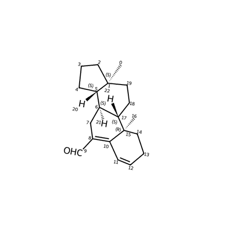 C[C@@]12CCC[C@H]1[C@@H]1CC(C=O)=C3C=CCC[C@]3(C)[C@H]1CC2